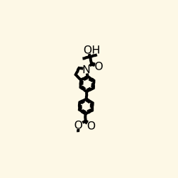 COC(=O)c1ccc(-c2ccc3c(c2)CCN3C(=O)C(C)(C)O)cc1